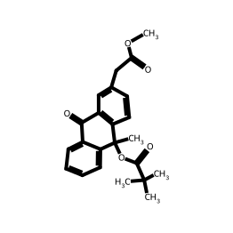 COC(=O)Cc1ccc2c(c1)C(=O)c1ccccc1C2(C)OC(=O)C(C)(C)C